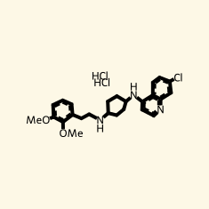 COc1cccc(CCNC2CCC(Nc3ccnc4cc(Cl)ccc34)CC2)c1OC.Cl.Cl